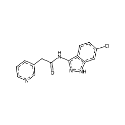 O=C(Cc1cccnc1)Nc1n[nH]c2cc(Cl)ccc12